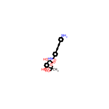 CC(CO)(CO)COC(=O)[C@@H](NC(=O)c1ccc(C#CC#Cc2ccc(N)cc2)cc1)[C@@H](O)c1ccc(O)cc1